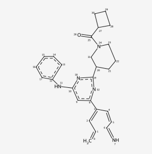 C=C/C=C(\C=C/C=N)c1cc(Nc2ccccc2)nc(C2CCCN(C(=O)C3CCC3)C2)n1